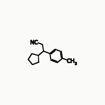 Cc1ccc(C(CC#N)C2CCCC2)cc1